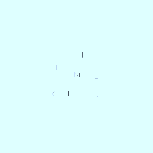 [F][Ni-2]([F])([F])[F].[K+].[K+]